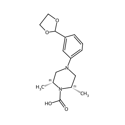 C[C@@H]1CN(c2cccc(C3OCCO3)c2)C[C@H](C)N1C(=O)O